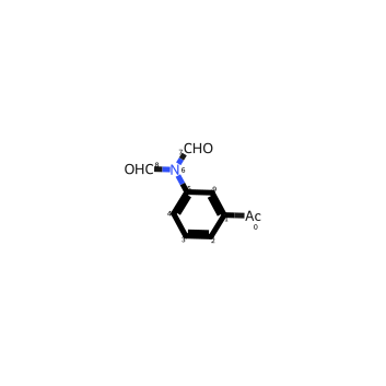 CC(=O)c1cccc(N(C=O)C=O)c1